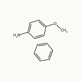 COc1ccc(N)cc1.c1ccccc1